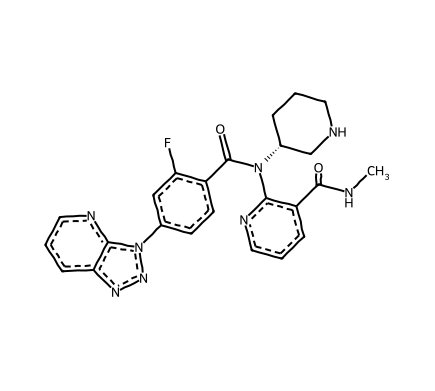 CNC(=O)c1cccnc1N(C(=O)c1ccc(-n2nnc3cccnc32)cc1F)[C@@H]1CCCNC1